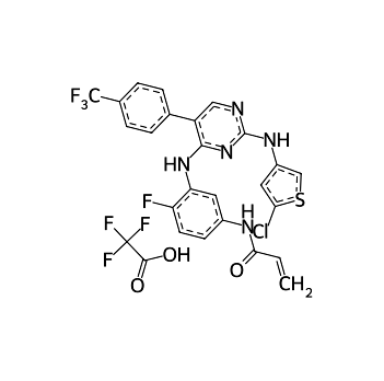 C=CC(=O)Nc1ccc(F)c(Nc2nc(Nc3csc(Cl)c3)ncc2-c2ccc(C(F)(F)F)cc2)c1.O=C(O)C(F)(F)F